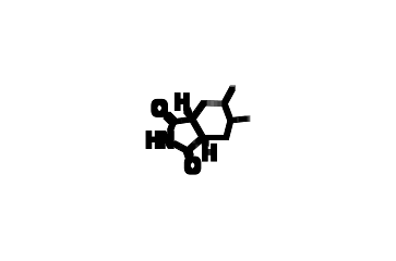 CC1C[C@@H]2C(=O)NC(=O)[C@@H]2CC1C